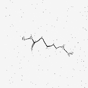 CCOC(=O)CCCCOC=O